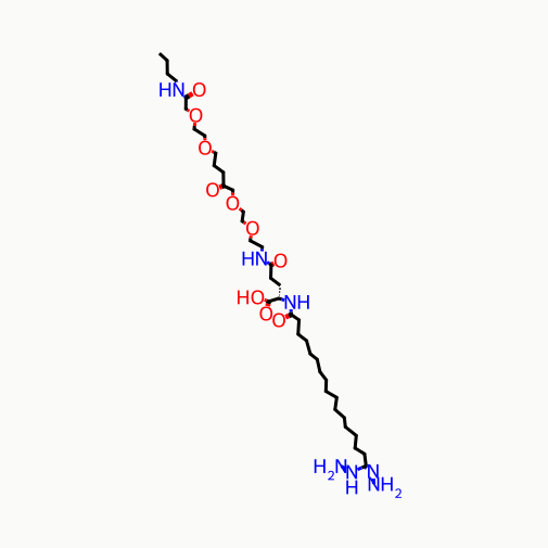 CCCCNC(=O)COCCOCCCC(=O)COCCOCCNC(=O)CC[C@H](NC(=O)CCCCCCCCCCCCCCC/C(=N/N)NN)C(=O)O